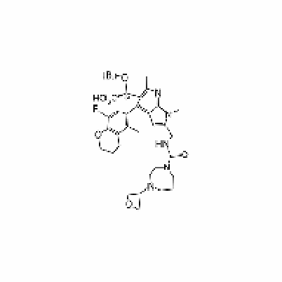 Cc1nc2c(cc(CNC(=O)N3CCCN(C4COC4)CC3)n2C)c(-c2cc(F)c3c(c2C)CCCO3)c1[C@H](OC(C)(C)C)C(=O)O